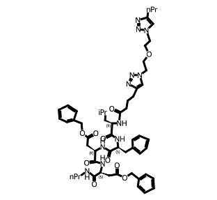 CCCNC(=O)[C@H](CC(=O)OCc1ccccc1)NC(=O)[C@@H](CC(=O)OCc1ccccc1)NC(=O)[C@H](Cc1ccccc1)NC(=O)[C@@H](CC(C)C)NC(=O)CCCc1cn(CCOCCn2cc(CCC)nn2)nn1